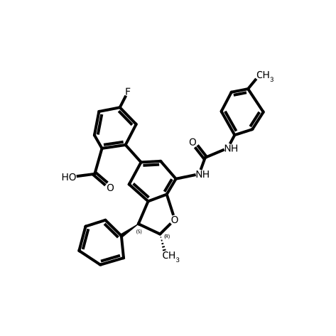 Cc1ccc(NC(=O)Nc2cc(-c3cc(F)ccc3C(=O)O)cc3c2O[C@H](C)[C@H]3c2ccccc2)cc1